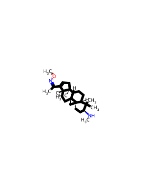 CN[C@H]1CC[C@]23C[C@]24CC[C@]2(C)C(/C(C)=N\OC)=CC[C@@]2(C)[C@@H]4CC[C@H]3C1(C)C